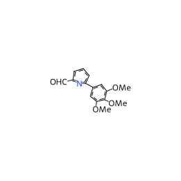 COc1cc(-c2cccc(C=O)n2)cc(OC)c1OC